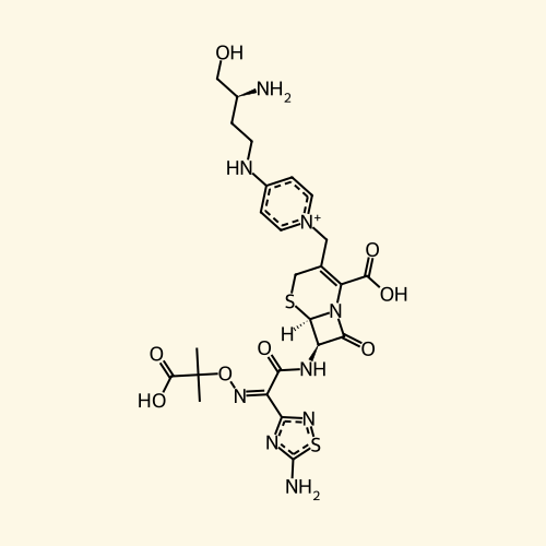 CC(C)(O/N=C(\C(=O)N[C@@H]1C(=O)N2C(C(=O)O)=C(C[n+]3ccc(NCC[C@H](N)CO)cc3)CS[C@H]12)c1nsc(N)n1)C(=O)O